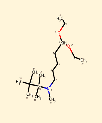 CCO[SiH](CCCCN(C)[Si](C)(C)C(C)(C)C)OCC